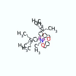 CCCCN(P(c1ccc([Si](CCCC)(CCCC)CCCC)cc1)c1ccc([Si](CCCC)(CCCC)CCCC)cc1)P(c1cccc2ccoc12)c1cccc2ccoc12